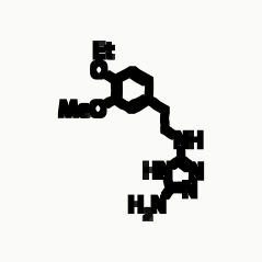 CCOc1ccc(CCNc2nnc(N)[nH]2)cc1OC